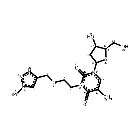 CCCn1cc(COCCn2c(=O)c(C)cn(C3CC(O)[C@@H](CO)S3)c2=O)nn1